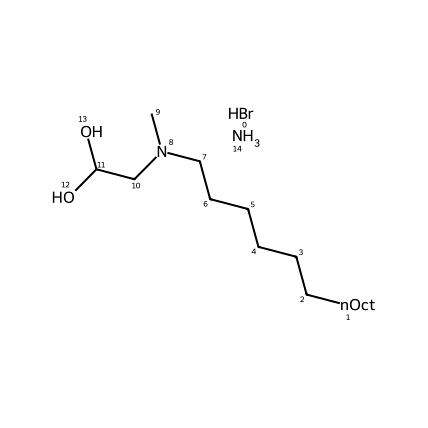 Br.CCCCCCCCCCCCCCN(C)CC(O)O.N